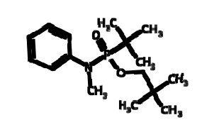 CN(c1ccccc1)P(=O)(OCC(C)(C)C)C(C)(C)C